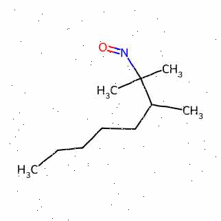 CCCCCC(C)C(C)(C)N=O